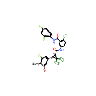 COc1c(F)cc([C@H]2[C@H](C(=O)Nc3ccc(Cl)c(C(=O)Nc4ccc(F)cc4F)c3)C2(Cl)Cl)cc1Br